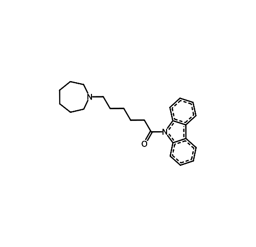 O=C(CCCCCN1CCCCCC1)n1c2ccccc2c2ccccc21